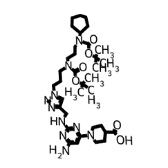 CC(C)(C)OC(=O)N(CCCN(C(=O)OC(C)(C)C)C1CCCCC1)CCCn1cc(CNc2nc(N)cc(N3CCC(C(=O)O)CC3)n2)nn1